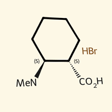 Br.CN[C@H]1CCCC[C@@H]1C(=O)O